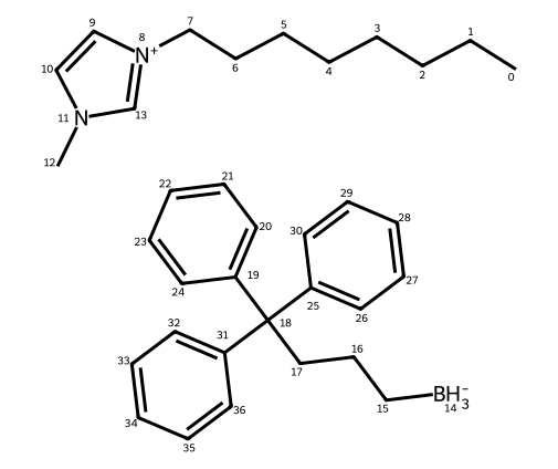 CCCCCCCC[n+]1ccn(C)c1.[BH3-]CCCC(c1ccccc1)(c1ccccc1)c1ccccc1